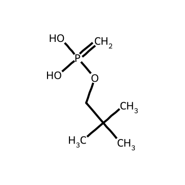 C=P(O)(O)OCC(C)(C)C